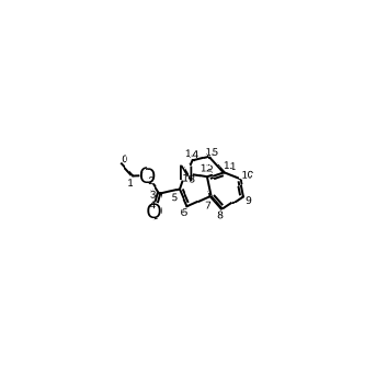 CCOC(=O)c1cc2cccc3c2n1CC3